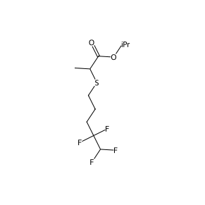 CC(C)OC(=O)C(C)SCCCC(F)(F)C(F)F